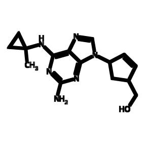 CC1(Nc2nc(N)nc3c2ncn3C2C=CC(CO)C2)CC1